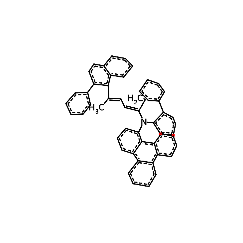 C=C/C(=C\C=C(/C)c1c(-c2ccccc2)ccc2ccccc12)N(c1ccccc1-c1ccccc1)c1cccc2c3ccccc3c3ccccc3c12